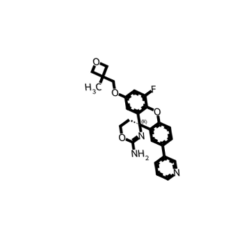 CC1(COc2cc(F)c3c(c2)[C@@]2(CCOC(N)=N2)c2cc(-c4cccnc4)ccc2O3)COC1